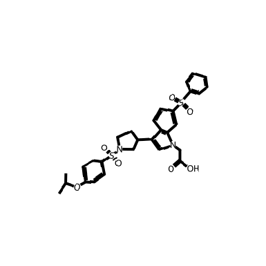 CC(C)OC1=CCC(S(=O)(=O)N2CCC(c3cn(CC(=O)O)c4cc(S(=O)(=O)c5ccccc5)ccc34)C2)C=C1